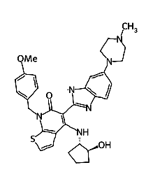 COc1ccc(Cn2c(=O)c(C3=Nc4ccc(N5CCN(C)CC5)cc4[N]3)c(N[C@H]3CCC[C@@H]3O)c3ccsc32)cc1